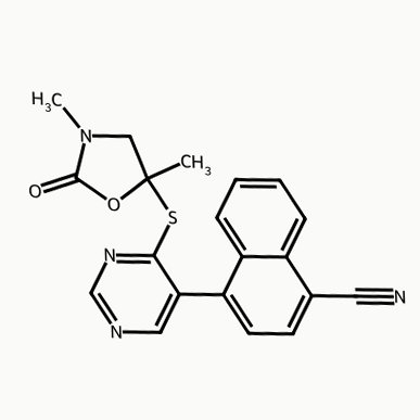 CN1CC(C)(Sc2ncncc2-c2ccc(C#N)c3ccccc23)OC1=O